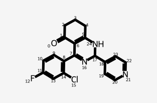 O=C1CCCC2=C1C(c1ccc(F)cc1Cl)=NC(c1ccncc1)N2